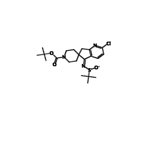 CC(C)(C)OC(=O)N1CCC2(CC1)Cc1nc(Cl)ccc1/C2=N\[S+]([O-])C(C)(C)C